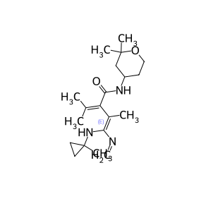 C=N/C(NC1(C)CC1)=C(\C)C(C(=O)NC1CCOC(C)(C)C1)=C(C)C